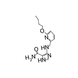 CCCCOc1cccc(CNc2nc[nH]c2C(N)=O)n1